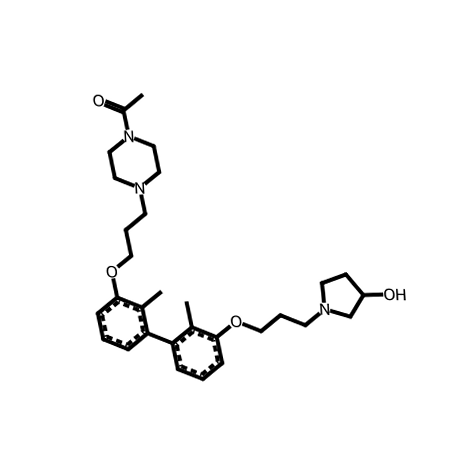 CC(=O)N1CCN(CCCOc2cccc(-c3cccc(OCCCN4CCC(O)C4)c3C)c2C)CC1